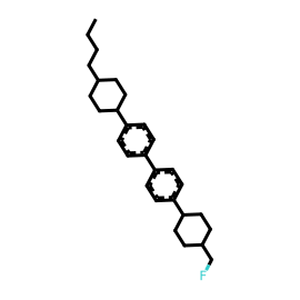 CCCCC1CCC(c2ccc(-c3ccc(C4CCC(CF)CC4)cc3)cc2)CC1